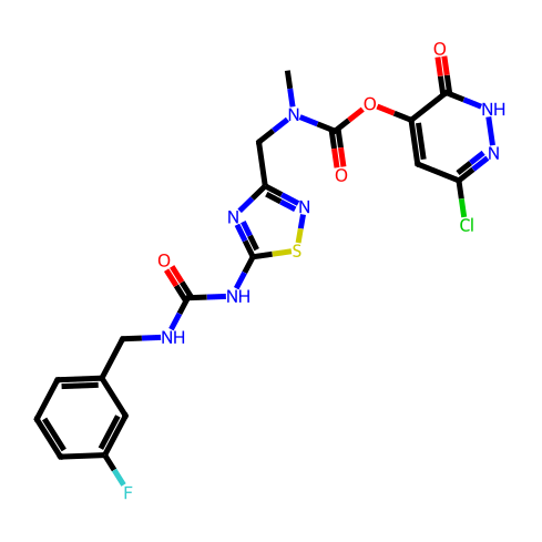 CN(Cc1nsc(NC(=O)NCc2cccc(F)c2)n1)C(=O)Oc1cc(Cl)n[nH]c1=O